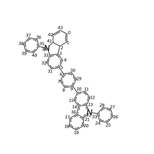 C1=CC2c3cc(-c4ccc(-c5ccc6c(c5)c5ccccc5n6-c5ccccc5)cc4)ccc3N(c3ccccc3)C2C=C1